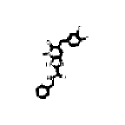 Cn1c(=O)c(Cc2ccc(F)c(F)c2)cc2nc(C(=O)NCc3ccccc3)[nH]c21